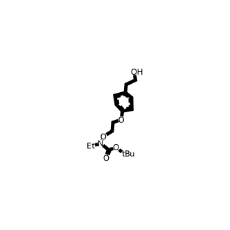 CCN(OCCOc1ccc(CCO)cc1)C(=O)OC(C)(C)C